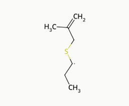 C=C(C)CS[CH]CC